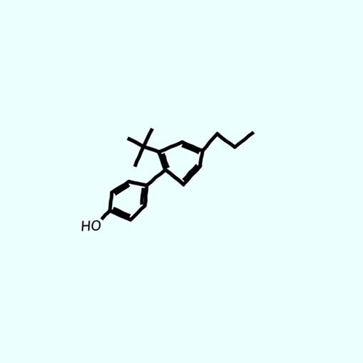 CCCc1ccc(-c2ccc(O)cc2)c(C(C)(C)C)c1